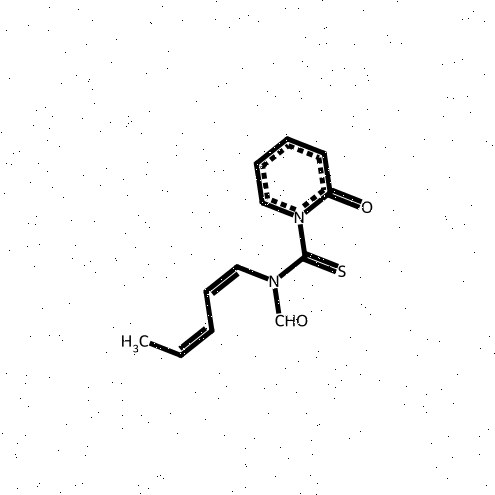 C/C=C\C=C/N(C=O)C(=S)n1ccccc1=O